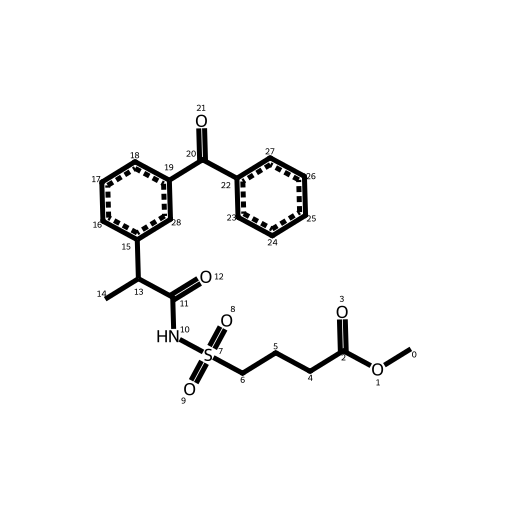 COC(=O)CCCS(=O)(=O)NC(=O)C(C)c1cccc(C(=O)c2ccccc2)c1